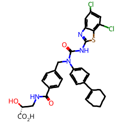 O=C(NC[C@@H](O)C(=O)O)c1ccc(CN(C(=O)Nc2nc3cc(Cl)cc(Cl)c3s2)c2ccc(C3=CCCCC3)cc2)cc1